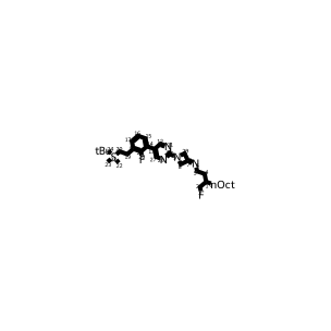 CCCCCCCCC(CF)CCN=C1CN(c2ncc(-c3cccc(CCS(C)(C)C(C)(C)C)c3F)cn2)C1